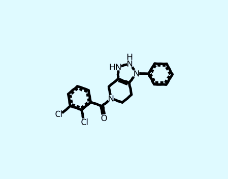 O=C(c1cccc(Cl)c1Cl)N1CCC2=C(C1)NNN2c1ccccc1